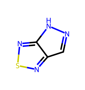 c1n[nH]c2nsnc12